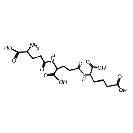 NC(CCC(=O)NC(CCC(=O)NC(CCCC(=O)O)C(=O)O)C(=O)O)C(=O)O